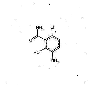 NC(=O)c1c(Cl)ccc(N)c1O